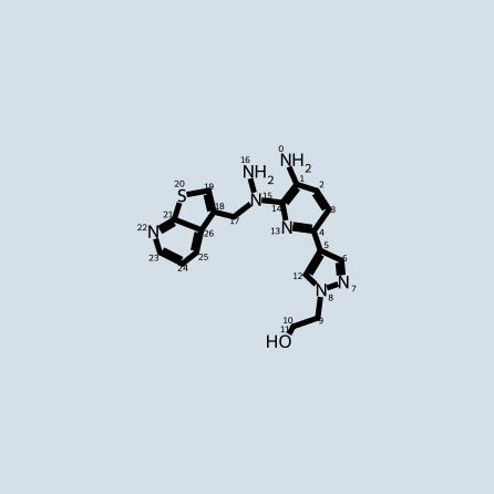 Nc1ccc(-c2cnn(CCO)c2)nc1N(N)Cc1csc2ncccc12